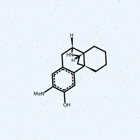 CNc1cc2c(cc1O)[C@@]13CCCC[C@H]1[C@@H](C2)NCC3